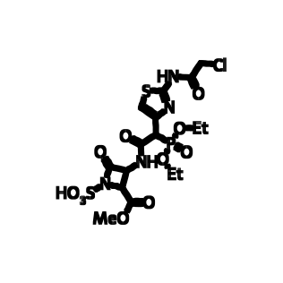 CCOP(=O)(OCC)C(C(=O)NC1C(=O)N(S(=O)(=O)O)C1C(=O)OC)c1csc(NC(=O)CCl)n1